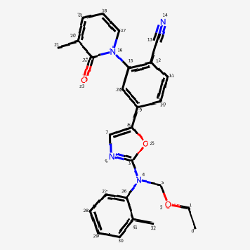 CCOCN(c1ncc(-c2ccc(C#N)c(-n3cccc(C)c3=O)c2)o1)c1ccccc1C